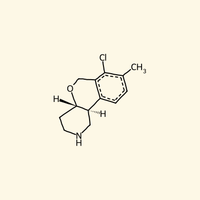 Cc1ccc2c(c1Cl)CO[C@H]1CCNC[C@H]21